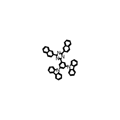 c1ccc2cc(-c3nc(-c4cc(-n5c6ccccc6c6ccccc65)cc(-n5c6ccccc6c6ccccc65)c4)nc(-c4ccc5ccccc5c4)n3)ccc2c1